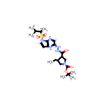 CCC1CN(C(=O)OC(C)(C)C)CC1C(=O)NNc1cnc2c(ccn2S(=O)(=O)C(C)C(C)C)n1